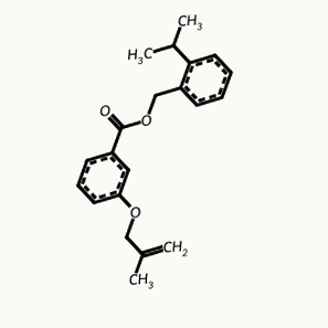 C=C(C)COc1cccc(C(=O)OCc2ccccc2C(C)C)c1